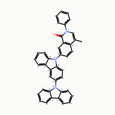 Cc1cn(-c2ccccc2)c(=O)c2cc(-n3c4ccccc4c4cc(-n5c6ccccc6c6ccccc65)ccc43)ccc12